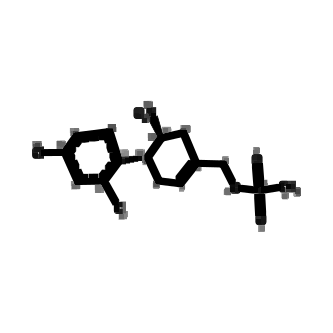 CS(=O)(=O)OCC1=CC[C@H](c2ccc(Cl)cc2Cl)[C@@H]([N+](=O)[O-])C1